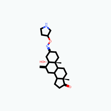 C=C1CC2C3CCC(=O)[C@@]3(C)CCC2[C@@]2(C)CCC(=NOC3CCNC3)C[C@]12O